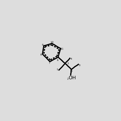 CC(O)C(C)(C)c1[c]cccc1